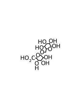 O=C(O)C1O[C@H](OCC2O[C@H](O)C(O)C(O)[C@@H]2O)C(O)C(O)[C@@H]1O